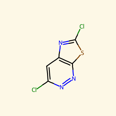 Clc1cc2nc(Cl)sc2nn1